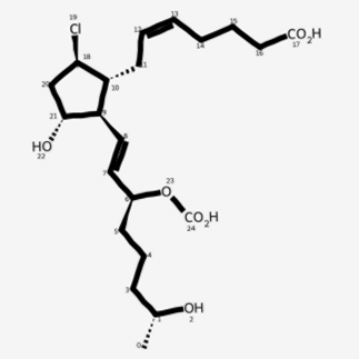 C[C@@H](O)CCC[C@@H](/C=C/[C@@H]1[C@@H](C/C=C\CCCC(=O)O)[C@H](Cl)C[C@H]1O)OC(=O)O